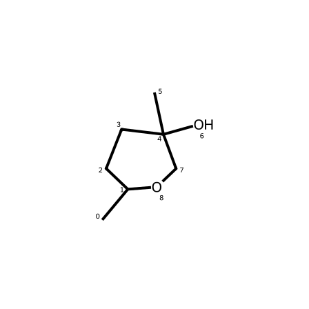 CC1CCC(C)(O)CO1